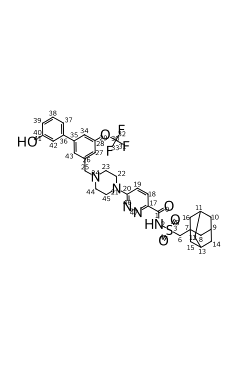 O=C(NS(=O)(=O)CC12CC3CC(CC(C3)C1)C2)c1ccc(N2CCN(Cc3cc(OC(F)(F)F)cc(-c4cccc(O)c4)c3)CC2)nn1